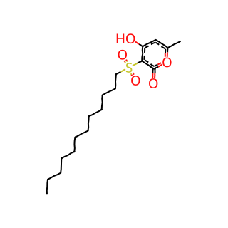 CCCCCCCCCCCCS(=O)(=O)c1c(O)cc(C)oc1=O